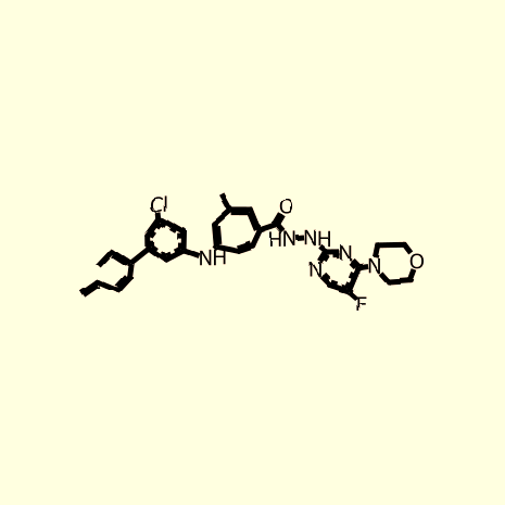 C=C/C=C\C(=C/C)c1cc(Cl)cc(NC2=CC(C)=C=C(C(=O)NNc3ncc(F)c(N4CCOCC4)n3)C=C2)c1